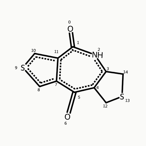 O=c1[nH]c2c(c(=O)c3cscc13)CSC2